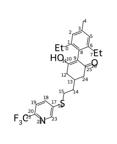 CCc1cc(C)cc(CC)c1C1=C(O)CC(CCSc2ccc(C(F)(F)F)nc2)CC1=O